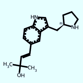 CC(C)(O)C=Cc1ccc2[nH]cc(C[C@H]3CCCN3)c2c1